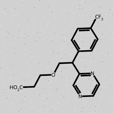 O=C(O)CCOCC(c1ccc(C(F)(F)F)cc1)c1cnccn1